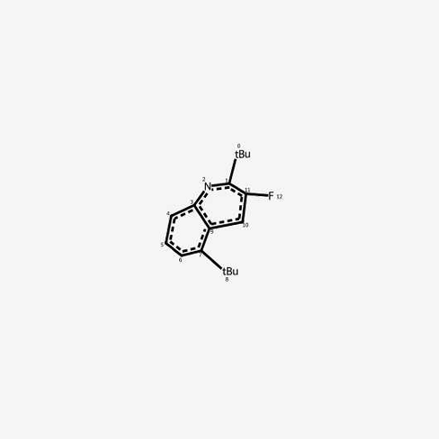 CC(C)(C)c1nc2cccc(C(C)(C)C)c2cc1F